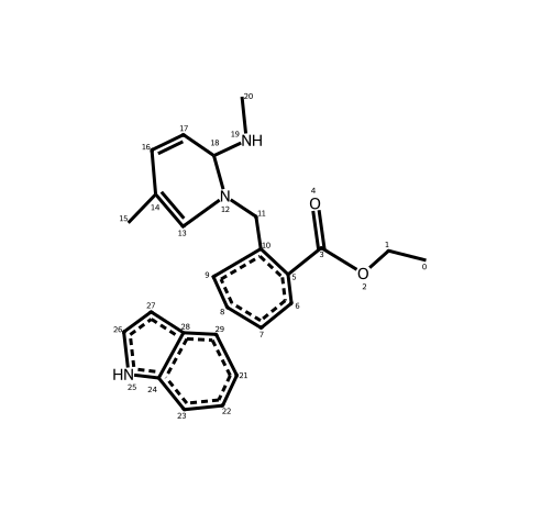 CCOC(=O)c1ccccc1CN1C=C(C)C=CC1NC.c1ccc2[nH]ccc2c1